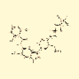 CNCc1cc(-c2n[nH]c3cc(OC)c(O[C@H](C)c4c(Cl)cncc4Cl)cc23)cnc1N1CC2(C1)CN(S(C)(=O)=O)C2